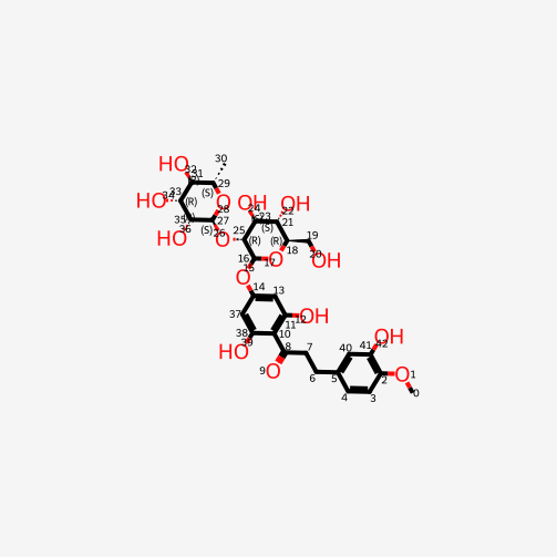 COc1ccc(CCC(=O)c2c(O)cc(OC3O[C@H](CO)[C@@H](O)[C@H](O)[C@H]3O[C@@H]3O[C@@H](C)[C@H](O)[C@@H](O)[C@H]3O)cc2O)cc1O